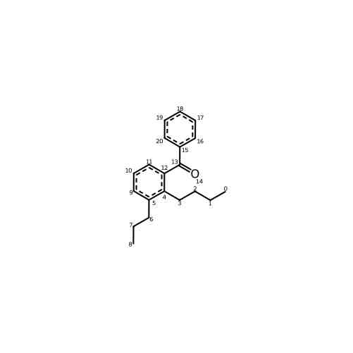 CCCCc1c(CCC)cccc1C(=O)c1ccccc1